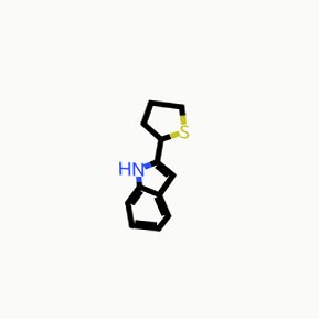 c1ccc2[nH]c(C3CCCS3)cc2c1